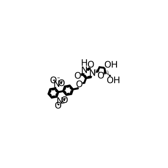 O=c1[nH]c(=O)n([C@@H]2CC(O)[C@H](CO)O2)cc1COCc1ccc(-c2c([N+](=O)[O-])cccc2[N+](=O)[O-])cc1